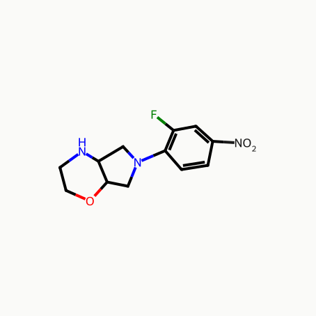 O=[N+]([O-])c1ccc(N2CC3NCCOC3C2)c(F)c1